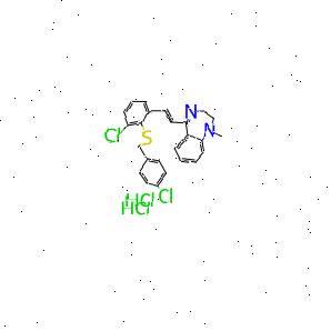 CN1CCN=C(C=Cc2cccc(Cl)c2SCc2ccc(Cl)cc2)c2ccccc21.Cl.Cl